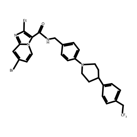 CCc1nc2cc(Br)ccn2c1C(=O)NCc1ccc(N2CCC(c3ccc(CC(F)(F)F)cc3)CC2)cc1